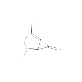 C=C1c2c(O)sc(O)c21